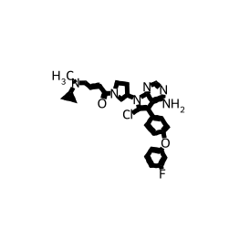 CN(CC=CC(=O)N1CCC(n2c(Cl)c(-c3ccc(Oc4cccc(F)c4)cc3)c3c(N)ncnc32)C1)C1CC1